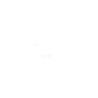 Cc1ccccc1S(=O)(=O)O.[NaH]